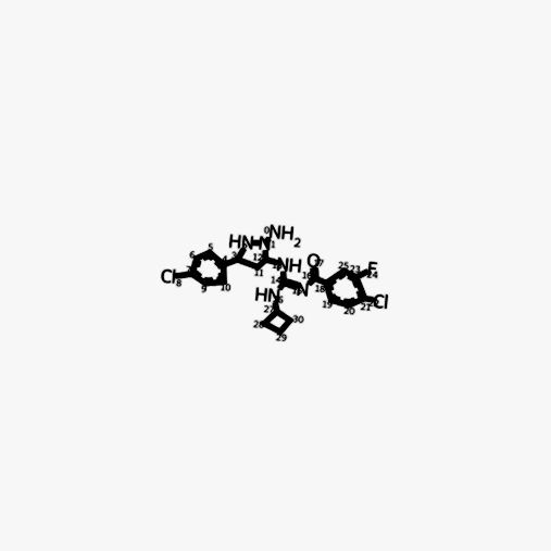 NN1NC(c2ccc(Cl)cc2)CC1N/C(=N\C(=O)c1ccc(Cl)c(F)c1)NC1CCC1